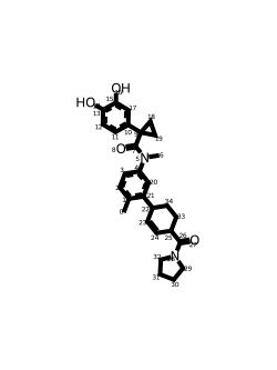 Cc1ccc(N(C)C(=O)C2(c3ccc(O)c(O)c3)CC2)cc1C1C=CC(C(=O)N2CCCC2)CC1